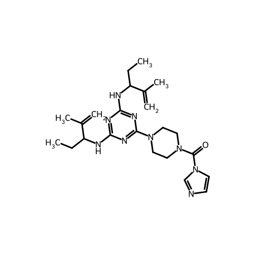 C=C(C)C(CC)Nc1nc(NC(CC)C(=C)C)nc(N2CCN(C(=O)n3ccnc3)CC2)n1